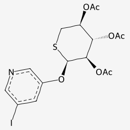 CC(=O)O[C@@H]1[C@@H](OC(C)=O)[C@@H](Oc2cncc(I)c2)SC[C@H]1OC(C)=O